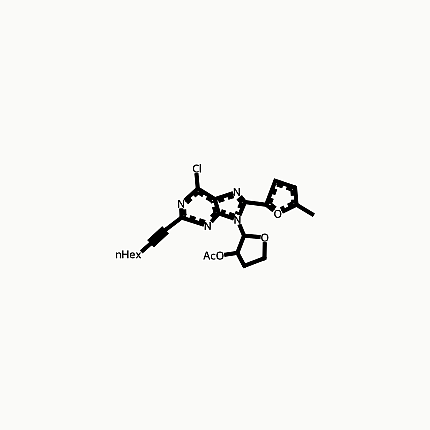 CCCCCCC#Cc1nc(Cl)c2nc(-c3ccc(C)o3)n(C3OCCC3OC(C)=O)c2n1